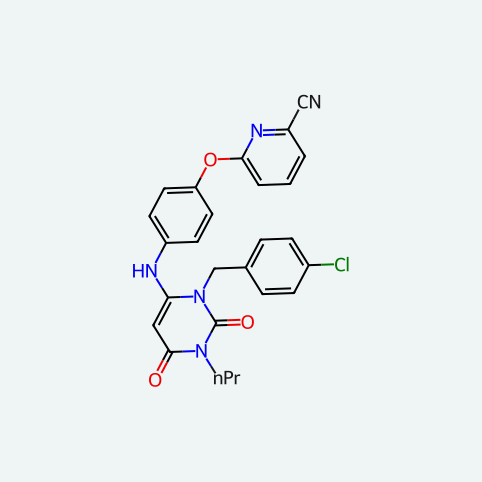 CCCn1c(=O)cc(Nc2ccc(Oc3cccc(C#N)n3)cc2)n(Cc2ccc(Cl)cc2)c1=O